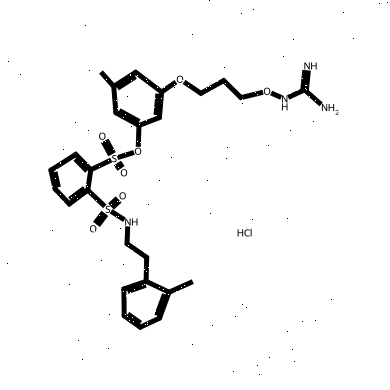 Cc1cc(OCCCONC(=N)N)cc(OS(=O)(=O)c2ccccc2S(=O)(=O)NCCc2ccccc2C)c1.Cl